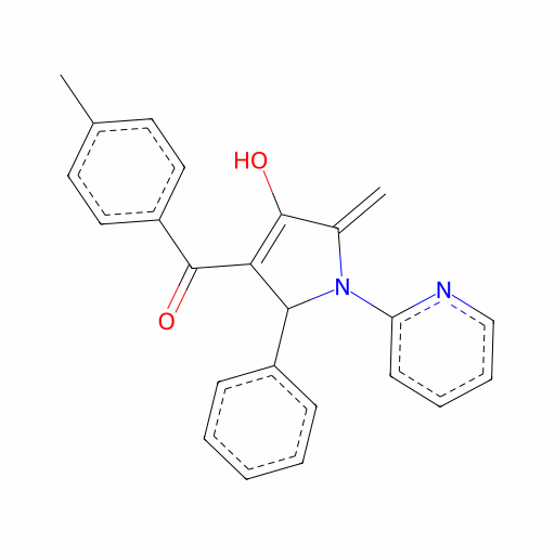 C=C1C(O)=C(C(=O)c2ccc(C)cc2)C(c2ccccc2)N1c1ccccn1